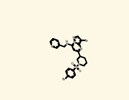 O=S(=O)(c1ccc(Br)cc1)N1CCCC(c2cc(NCc3cccnc3)n3ncc(Br)c3n2)C1